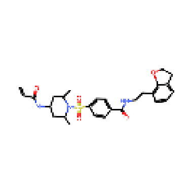 C=CC(=O)NC1CC(C)N(S(=O)(=O)c2ccc(C(=O)NCCc3cccc4c3OCC4)cc2)C(C)C1